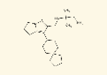 CC(C)(CN)NCc1nn2c(c1C1CCC3(CCCC3)CC1)CCC2